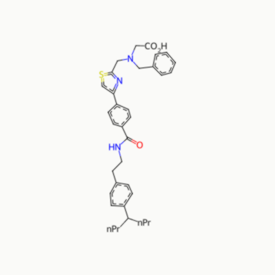 CCCC(CCC)c1ccc(CCNC(=O)c2ccc(-c3csc(CN(CC(=O)O)Cc4ccccc4)n3)cc2)cc1